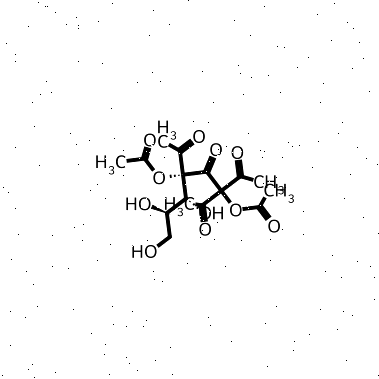 CC(=O)OC(C(C)=O)(C(C)=O)C(=O)[C@](OC(C)=O)(C(C)=O)[C@H](O)[C@H](O)CO